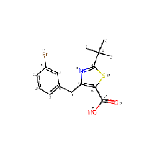 CC(C)(C)c1nc(Cc2cccc(Br)c2)c(C(=O)O)s1